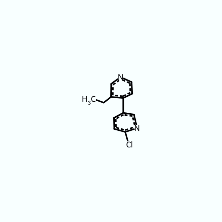 CCc1cnccc1-c1ccc(Cl)nc1